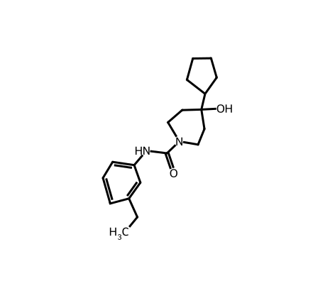 CCc1cccc(NC(=O)N2CCC(O)(C3CCCC3)CC2)c1